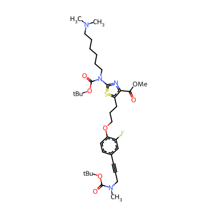 COC(=O)c1nc(N(CCCCCCN(C)C)C(=O)OC(C)(C)C)sc1CCCOc1ccc(C#CCN(C)C(=O)OC(C)(C)C)cc1F